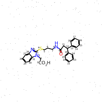 O=C(O)Cn1c(SCCCNC(=O)CC(c2ccccc2)c2ccccc2)nc2ccccc21